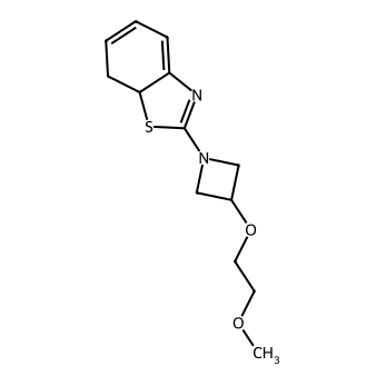 COCCOC1CN(C2=NC3=CC=CCC3S2)C1